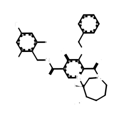 O=C(NCc1c(F)cc(F)cc1F)c1cn2c(c(OCc3ccccc3)c1=O)C(=O)N1CCC[C@H](Cl)[C@H]2C1